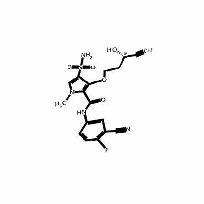 C#C[C@@H](O)CCOc1c(S(N)(=O)=O)cn(C)c1C(=O)Nc1ccc(F)c(C#N)c1